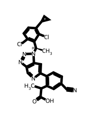 CC(C(=O)O)c1cc(C#N)ccc1-c1cc2c(cn1)nnn2[C@H](C)c1c(Cl)ccc(C2CC2)c1Cl